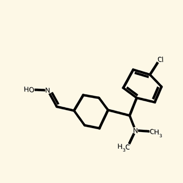 CN(C)C(c1ccc(Cl)cc1)C1CCC(C=NO)CC1